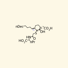 CCCCCCCCCCCCC/C=C1\CC[C@H](CC(=O)O)[C@@H](O)[C@@H]1SCC(=O)NC(CCC)C(=O)O